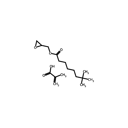 C=C(C)C(=O)O.CC(C)(C)CCCCCC(=O)OCC1CO1